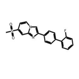 CS(=O)(=O)c1ccn2cc(-c3ccc(-c4ccccc4F)cc3)nc2c1